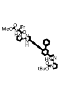 COC(=O)N[C@H](C(=O)N1CCC[C@H]1c1ncc(C#CC#Cc2ccc(-c3cnc([C@@H]4CCCN4C(=O)OC(C)(C)C)[nH]3)cc2-c2ccccc2)[nH]1)C(C)C